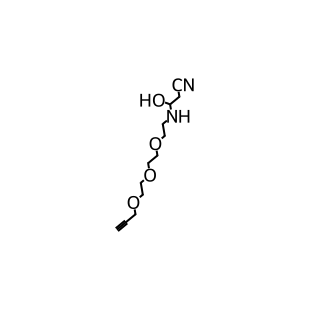 C#CCOCCOCCOCCNC(O)CC#N